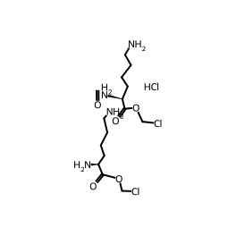 C=O.Cl.NCCCC[C@H](N)C(=O)OCCl.NCCCC[C@H](N)C(=O)OCCl